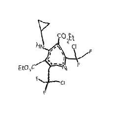 CCOC(=O)c1c(C(F)(F)Cl)nc(C(F)(F)Cl)c(C(=O)OCC)c1NC1CC1